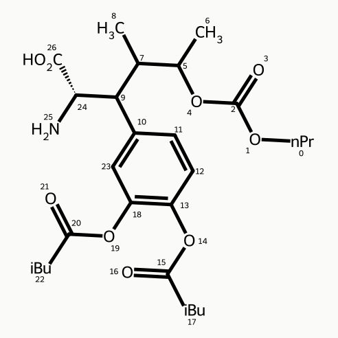 CCCOC(=O)OC(C)C(C)C(c1ccc(OC(=O)C(C)CC)c(OC(=O)C(C)CC)c1)[C@H](N)C(=O)O